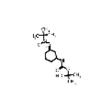 CC(C)(C)OC(=O)NC1CCC/C(=N\[S+]([O-])C(C)(C)C)C1